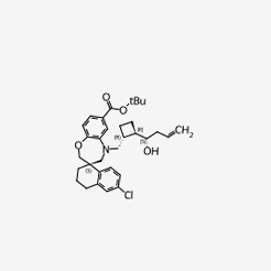 C=CC[C@H](O)[C@@H]1CC[C@H]1CN1C[C@@]2(CCCc3cc(Cl)ccc32)COc2ccc(C(=O)OC(C)(C)C)cc21